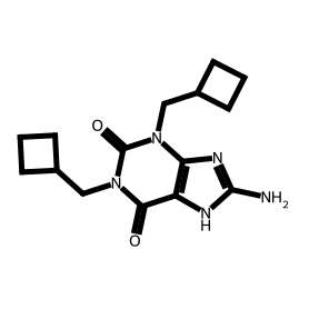 Nc1nc2c([nH]1)c(=O)n(CC1CCC1)c(=O)n2CC1CCC1